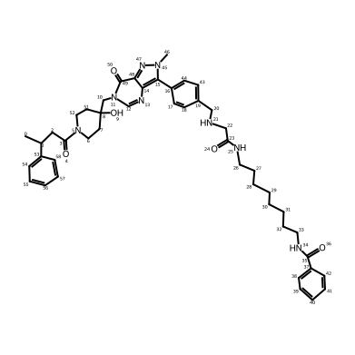 CC(CC(=O)N1CCC(O)(Cn2cnc3c(-c4ccc(CNCC(=O)NCCCCCCCCNC(=O)c5ccccc5)cc4)n(C)nc3c2=O)CC1)c1ccccc1